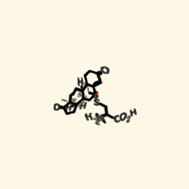 C[C@]12CC[C@H]3[C@@H](CCC4=CC(=O)CC[C@@]43CSSCC(N)C(=O)O)[C@@H]1CCC2=O